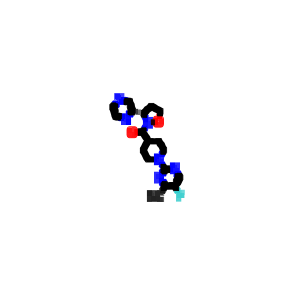 N#Cc1nc(N2CCC(C(=O)N3OCC[C@H]3c3cnccn3)CC2)ncc1F